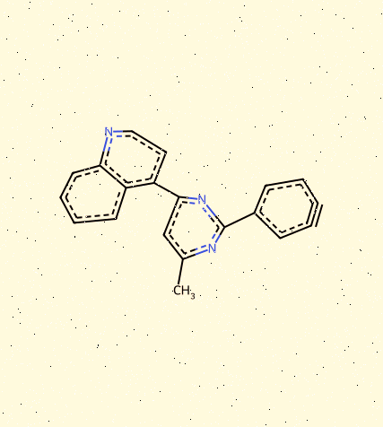 Cc1cc(-c2ccnc3ccccc23)nc(-c2cc#ccc2)n1